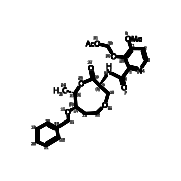 COc1ccnc(C(=O)N[C@H]2COCC[C@@H](OCc3ccccc3)[C@H](C)OC2=O)c1OCOC(C)=O